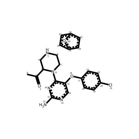 CC(=O)C1CNCCN1c1nc(N)ncc1Oc1ccc(Cl)cc1.c1cc2ccc1o2